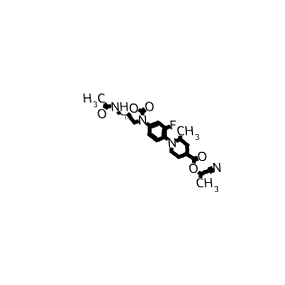 CC(=O)NC[C@H]1CN(c2ccc(N3CCC(C(=O)OC(C)C#N)CC3C)c(F)c2)C(=O)O1